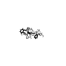 CNc1ccccc1N(C)CCCC1(C)N(C)c2ccccc2N1C